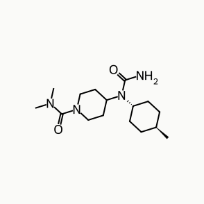 CN(C)C(=O)N1CCC(N(C(N)=O)[C@H]2CC[C@H](C)CC2)CC1